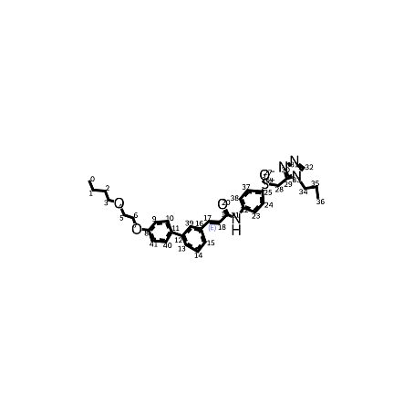 CCCCOCCOc1ccc(-c2cccc(/C=C/C(=O)Nc3ccc([S@+]([O-])Cc4nncn4CCC)cc3)c2)cc1